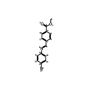 COC(=O)c1ccc(/C=N/c2ccc(Br)cc2)cc1